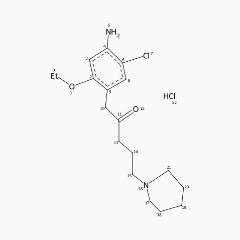 CCOc1cc(N)c(Cl)cc1CC(=O)CCCN1CCCCC1.Cl